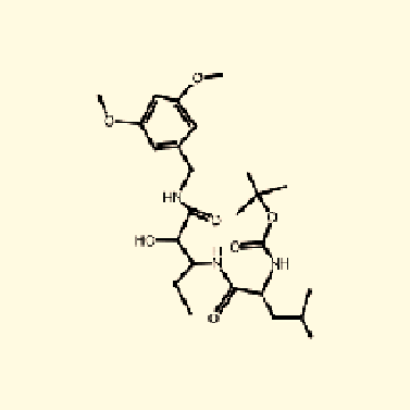 CCC(NC(=O)[C@H](CC(C)C)NC(=O)OC(C)(C)C)C(O)C(=O)NCc1cc(OC)cc(OC)c1